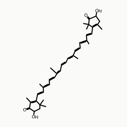 CC1=C(/C=C/C(C)=C/C=C/C(C)=C/C=C/C=C(C)/C=C/C=C(C)/C=C/C2=C(C)C(=O)C(O)CC2(C)C)C(C)(C)C(=O)C(O)C1